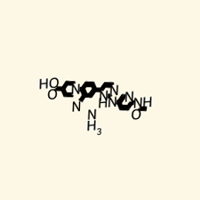 CC(=O)Nc1ccc(Nc2nccc(-c3ccc(N4CCC(C(=O)O)CC4)c(C#N)c3)n2)cn1.N